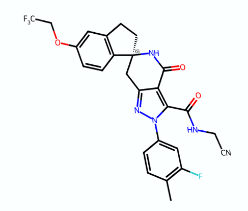 Cc1ccc(-n2nc3c(c2C(=O)NCC#N)C(=O)N[C@@]2(CCc4cc(OCC(F)(F)F)ccc42)C3)cc1F